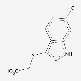 O=C(O)CSc1c[nH]c2cc(Cl)ccc12